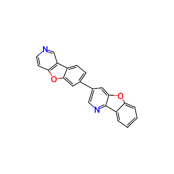 c1ccc2c(c1)oc1cc(-c3ccc4c(c3)oc3ccncc34)cnc12